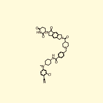 CN(c1ccc(C#N)c(Cl)c1)[C@H]1CC[C@H](NC(=O)c2ccc(CN3CCC(C(=O)N4Cc5cc6c(cc5C4)C(=O)N([C@@H]4CCC(=O)NC4=O)C6)CC3)cc2)CC1